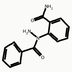 NC(=O)c1ccccc1N(N)C(=O)c1ccccc1